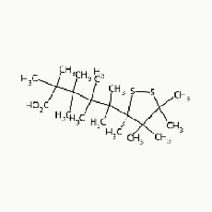 CC1(C)SS[C@](C)(C(C)(C)C(C)(C)C(C)(C)C(C)(C)C(=O)O)C1(C)C